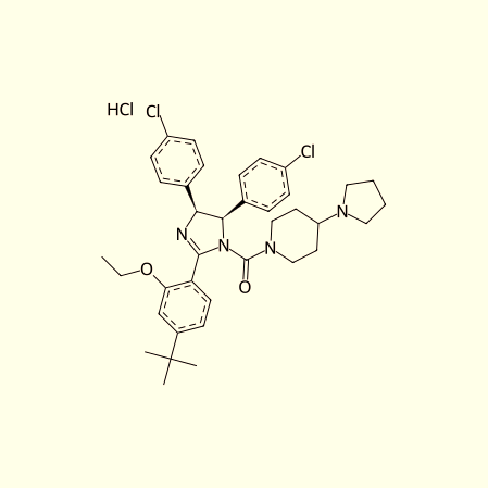 CCOc1cc(C(C)(C)C)ccc1C1=N[C@@H](c2ccc(Cl)cc2)[C@@H](c2ccc(Cl)cc2)N1C(=O)N1CCC(N2CCCC2)CC1.Cl